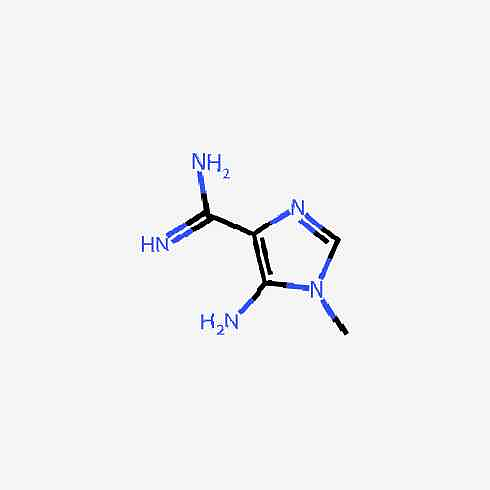 Cn1cnc(C(=N)N)c1N